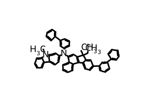 CCC1(CC)c2cc(-c3cccc(-c4ccccc4)c3)ccc2-c2c1cc(N(c1cccc(-c3ccccc3)c1)c1ccc3c4ccccc4n(C)c3c1)c1ccccc21